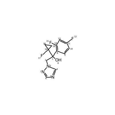 OC(Cn1cncn1)(c1ccc(F)cc1F)C1(F)CC1